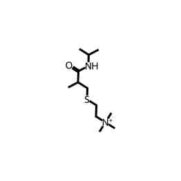 CC(C)NC(=O)C(C)CSCC[N+](C)(C)C